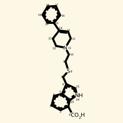 O=C(O)c1cccc2c(CSCCN3CC=C(c4ccccc4)CC3)c[nH]c12